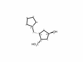 O=C(O)N1C[C@H](O)C[C@H]1CN1CCCC1